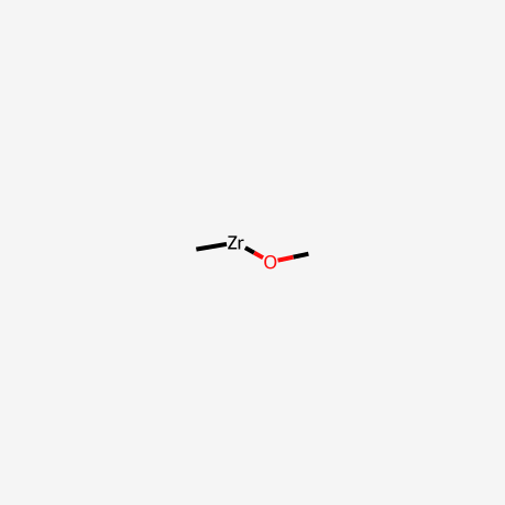 C[O][Zr][CH3]